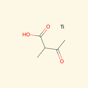 CC(=O)C(C)C(=O)O.[Ti]